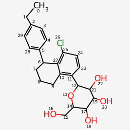 CCc1ccc(C2CCCc3c(C4OC(CO)C(O)C(O)C4O)ccc(Cl)c32)cc1